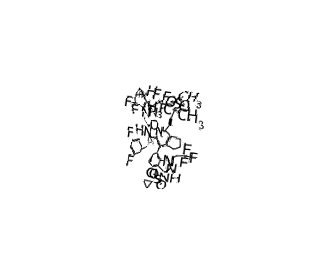 CC(C)(C#Cc1nc([C@H](Cc2cc(F)cc(F)c2)NC(=O)Cn2nc(C(F)(F)F)c3c2C(F)(F)C2C[C@H]32)c(-c2ccc(Cl)c3c(NS(=O)(=O)C4CC4)nn(CC(F)(F)F)c23)c2c1CCC2)S(C)(=O)=O